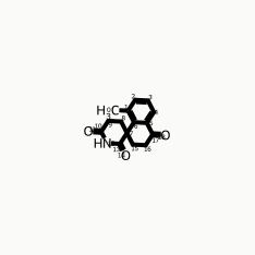 Cc1cccc2c1C1(CCC(=O)NC1=O)CCC2=O